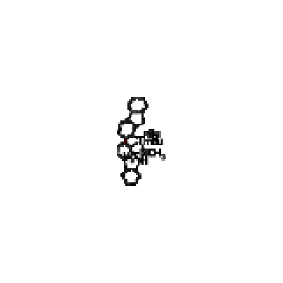 CCC[CH2][Ti]([CH2]CCC)([c]1cccc2c1Cc1ccccc1-2)([c]1cccc2c1Cc1ccccc1-2)[SiH](C)C